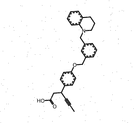 CC#CC(CC(=O)O)c1ccc(OCc2cccc(CN3CCCc4ccccc43)c2)cc1